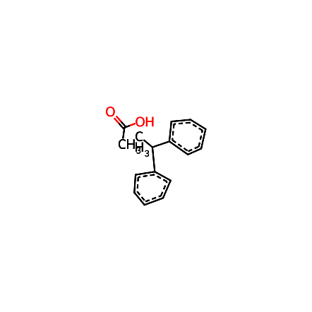 CC(=O)O.CC(c1ccccc1)c1ccccc1